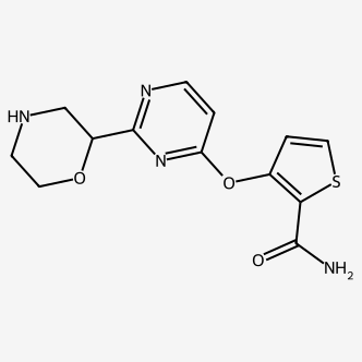 NC(=O)c1sccc1Oc1ccnc(C2CNCCO2)n1